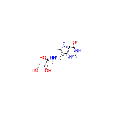 O=c1[nH]cnc2c(CNCC(O)C(O)CO)c[nH]c12